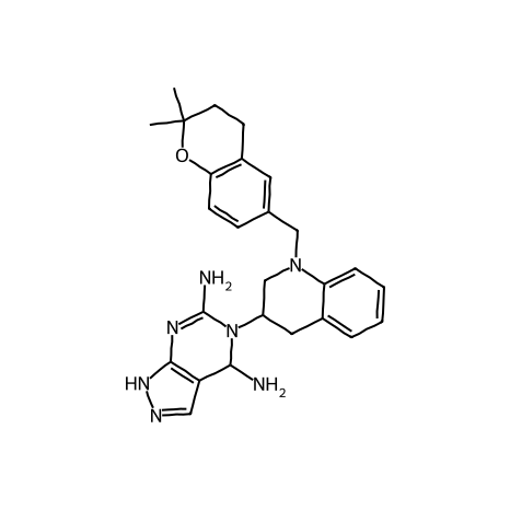 CC1(C)CCc2cc(CN3CC(N4C(N)=Nc5[nH]ncc5C4N)Cc4ccccc43)ccc2O1